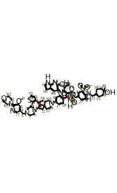 COc1cc(CN2CCN(C3CC4(CCN(c5ccc(C(=O)NS(=O)(=O)c6ccc(NCC7CCC(C)(O)CC7)c([N+](=O)[O-])c6)c(N6c7cc8cc[nH]c8nc7O[C@H]7COCC[C@@H]76)c5)CC4)C3)[C@H](c3sccc3C(C)C)C2)cnc1N1CCOCC1